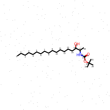 CCCCCCCCCCCCCCCC(O)C(C)NC(=O)OC(C)(C)C